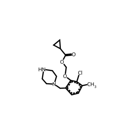 Cc1ccc(CN2CCNCC2)c(OCOC(=O)C2CC2)c1Cl